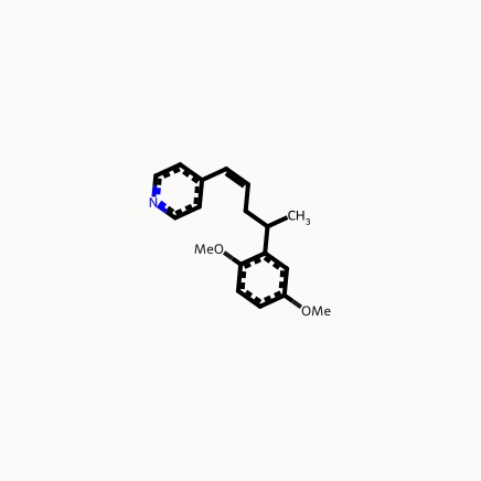 COc1ccc(OC)c(C(C)C/C=C\c2ccncc2)c1